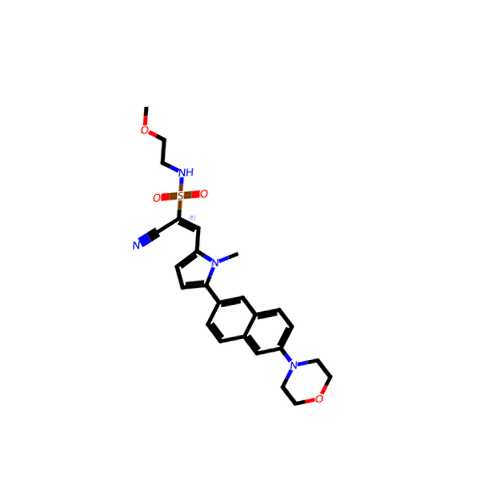 COCCNS(=O)(=O)/C(C#N)=C/c1ccc(-c2ccc3cc(N4CCOCC4)ccc3c2)n1C